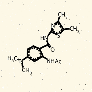 CC(=O)Nc1cc(N(C)C)ccc1C(=O)Nc1nc(C)c(C)s1